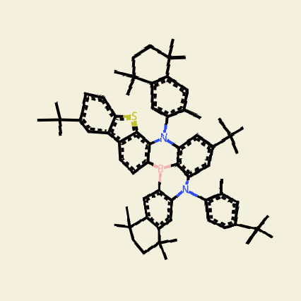 Cc1cc(C(C)(C)C)ccc1N1c2cc3c(cc2B2c4ccc5c(sc6ccc(C(C)(C)C)cc65)c4N(c4cc5c(cc4C)C(C)(C)CCC5(C)C)c4cc(C(C)(C)C)cc1c42)C(C)(C)CCC3(C)C